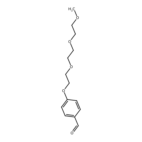 COCCOCCOCCOc1ccc(C=O)cc1